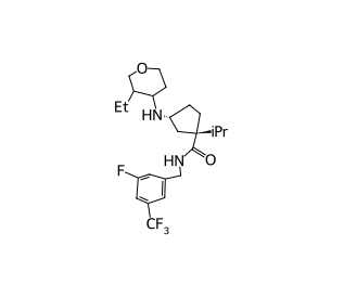 CCC1COCCC1N[C@@H]1CC[C@@](C(=O)NCc2cc(F)cc(C(F)(F)F)c2)(C(C)C)C1